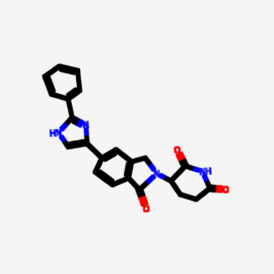 O=C1CCC(N2Cc3cc(-c4c[nH]c(-c5ccccc5)n4)ccc3C2=O)C(=O)N1